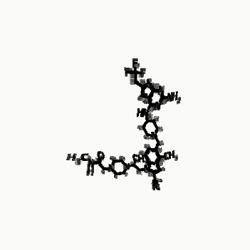 CNC(=O)CN1CCN([C@@H](C)Cn2c(C#N)cc3c(C)c(CN4CCC(Nc5nc(N)nc6sc(CC(F)(F)F)cc56)CC4)ccc32)CC1